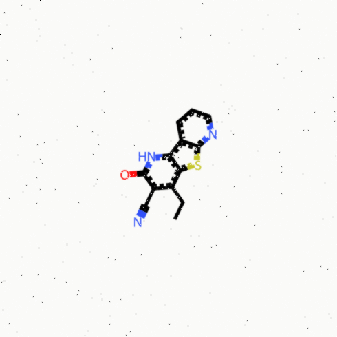 CCc1c(C#N)c(=O)[nH]c2c1sc1ncccc12